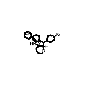 Brc1ccc(C(c2ccc(Br)cc2)[C@H]2[C@H](NCc3ccccc3)C3CCN2CC3)cc1